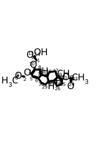 COCOc1cc2c(cc1OCC(=O)O)[C@H]1CC[C@]3(C)[C@@H](OC(C)=O)CC[C@H]3[C@@H]1CC2